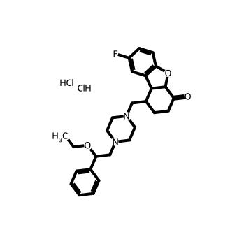 CCOC(CN1CCN(CC2CCC(=O)C3Oc4ccc(F)cc4C23)CC1)c1ccccc1.Cl.Cl